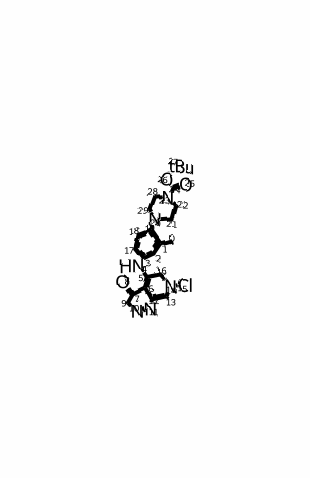 Cc1cc(NC2=C3C(=O)CN=NC3=CN(Cl)C2)ccc1N1CCN(C(=O)OC(C)(C)C)CC1